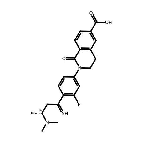 C[C@H](CC(=N)c1ccc(N2CCc3cc(C(=O)O)ccc3C2=O)cc1F)N(C)C